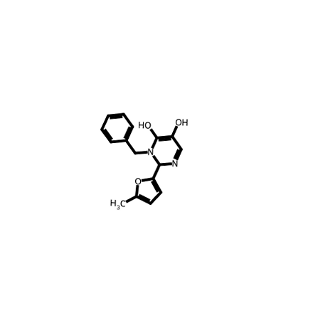 Cc1ccc(C2N=CC(O)=C(O)N2Cc2ccccc2)o1